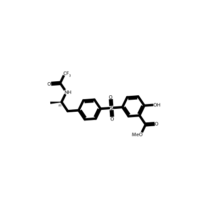 COC(=O)c1cc(S(=O)(=O)c2ccc(C[C@@H](C)NC(=O)C(F)(F)F)cc2)ccc1O